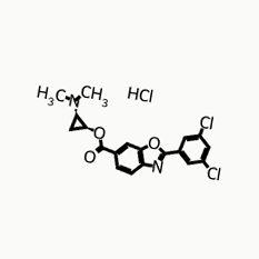 CN(C)[C@H]1C[C@@H]1OC(=O)c1ccc2nc(-c3cc(Cl)cc(Cl)c3)oc2c1.Cl